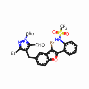 CCCCn1nc(CC)c(Cc2ccc3oc(-c4ccccc4NS(=O)(=O)C(F)(F)F)c(Br)c3c2)c1C=O